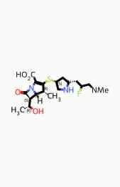 CNCC(F)C[C@H]1C[C@H](SC2=C(C(=O)O)N3C(=O)[C@H]([C@@H](C)O)[C@H]3[C@H]2C)CN1